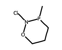 CP1CCCON1Cl